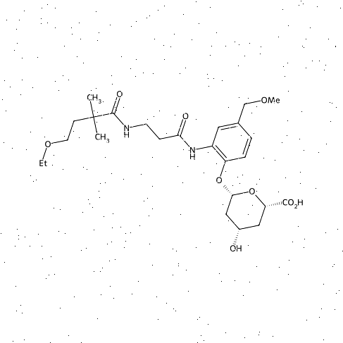 CCOCCC(C)(C)C(=O)NCCC(=O)Nc1cc(COC)ccc1O[C@H]1C[C@@H](O)C[C@@H](C(=O)O)O1